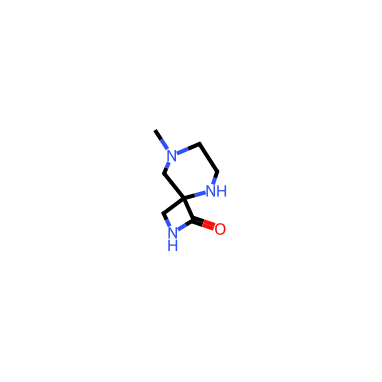 CN1CCNC2(CNC2=O)C1